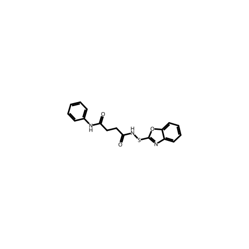 O=C(CCC(=O)Nc1ccccc1)NSc1nc2ccccc2o1